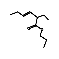 CCC=CC(CC)C(=O)OCCC